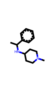 CC(NC1CCN(C)CC1)c1ccccc1